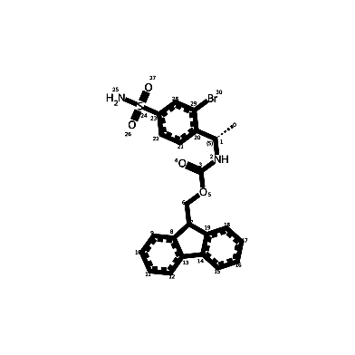 C[C@H](NC(=O)OCC1c2ccccc2-c2ccccc21)c1ccc(S(N)(=O)=O)cc1Br